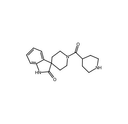 O=C(C1CCNCC1)N1CCC2(CC1)C(=O)Nc1ccccc12